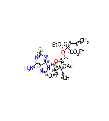 C#C[C@@]1(OC(C)=O)[C@@H](COC(CC=C)(C(=O)OCC)C(=O)OCC)O[C@@H](n2cnc3c(N)nc(Cl)nc32)[C@@H]1OC(C)=O